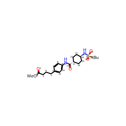 COC(=O)CCCc1ccc(NC(=O)[C@H]2CC[C@H](NS(=O)(=O)C(C)(C)C)CC2)cc1